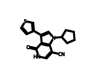 N#Cc1c[nH]c(=O)c2c(-c3ccsc3)cn(C3CCCC3)c12